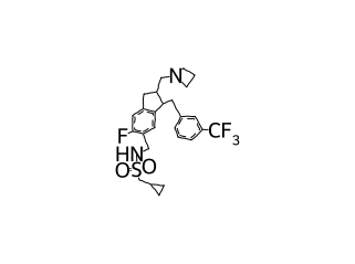 O=S(=O)(CC1CC1)NCc1cc2c(cc1F)CC(CN1CCC1)C2Cc1cccc(C(F)(F)F)c1